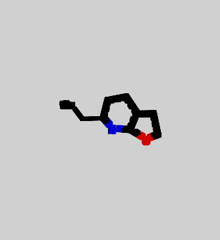 CC(C)(C)Cc1ccc2ccoc2n1